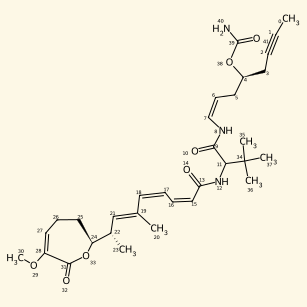 CC#CC[C@@H](C/C=C\NC(=O)C(NC(=O)\C=C/C=C\C(C)=C\[C@H](C)[C@@H]1CCC=C(OC)C(=O)O1)C(C)(C)C)OC(N)=O